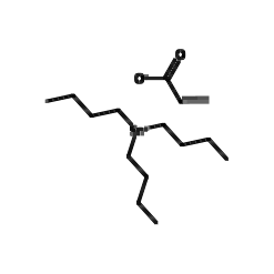 C=CC(=O)[O-].CCC[CH2][Sn+]([CH2]CCC)[CH2]CCC